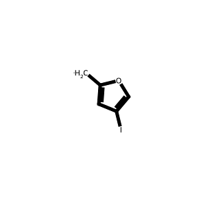 [CH2]c1cc(I)co1